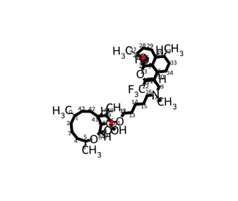 C[C@H]1CCC[C@H](C)O[C@H]2O[C@H](OCCCCCN(C)CC3=C(C(F)(F)F)O[C@@H]4O[C@]5(C)CC[C@H]6[C@H](C)CC[C@@H]3[C@@]46OO5)[C@H](C)[C@H](CC1)C2OO